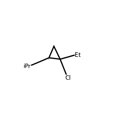 CCC1(Cl)C[C]1C(C)C